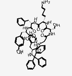 NCCCC[C@H](NC(=O)[C@H](CO)NC(=O)CNC(=O)[C@H](Cc1c[nH]cn1)NC(c1ccccc1)(c1ccccc1)c1ccccc1)C(=O)N[C@@H](Cc1ccccc1)C(=O)N[C@@H](Cc1ccc(O)cc1)C(=O)O